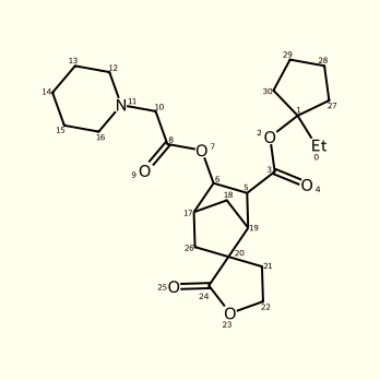 CCC1(OC(=O)C2C(OC(=O)CN3CCCCC3)C3CC2C2(CCOC2=O)C3)CCCC1